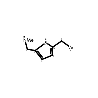 CNCc1ccc(CC(C)=O)s1